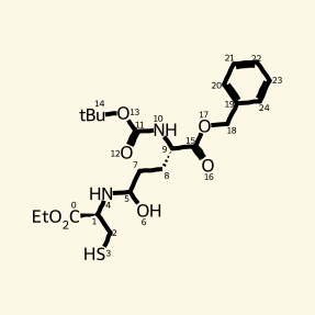 CCOC(=O)[C@H](CS)NC(O)CC[C@H](NC(=O)OC(C)(C)C)C(=O)OCc1ccccc1